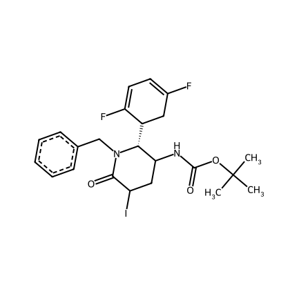 CC(C)(C)OC(=O)NC1CC(I)C(=O)N(Cc2ccccc2)[C@@H]1C1CC(F)=CC=C1F